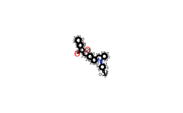 C[Si](C)(C)c1ccc(N2c3ccccc3Cc3c2ccc2cc(C=C4C(=O)c5cc6ccccc6cc5C4=O)ccc32)cc1